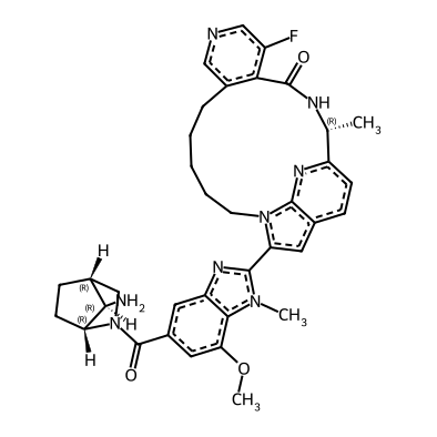 COc1cc(C(=O)N2C[C@H]3CC[C@@H]2[C@@H]3N)cc2nc(-c3cc4ccc5nc4n3CCCCCc3cncc(F)c3C(=O)N[C@@H]5C)n(C)c12